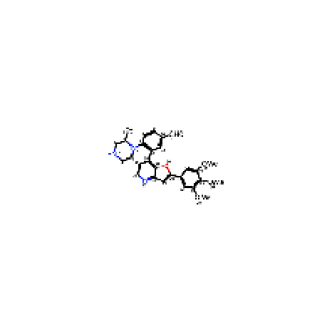 CCC1CNCCN1c1ccc(C=O)cc1-c1ccnc2cc(-c3cc(OC)c(OC)c(OC)c3)oc12